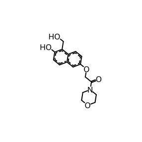 O=C(COc1ccc2c(CO)c(O)ccc2c1)N1CCOCC1